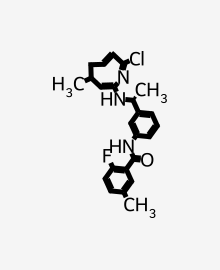 Cc1ccc(F)c(C(=O)Nc2cccc([C@H](C)NC3=C/C(C)C/C=C/C(Cl)=N\3)c2)c1